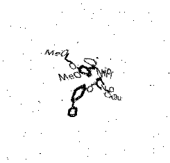 COCCCOc1cc(C(=O)N(C(C)C)C2C[C@H](COc3cccc(-c4ccccc4)c3)CN(C(=O)OC(C)(C)C)C2)ccc1OC